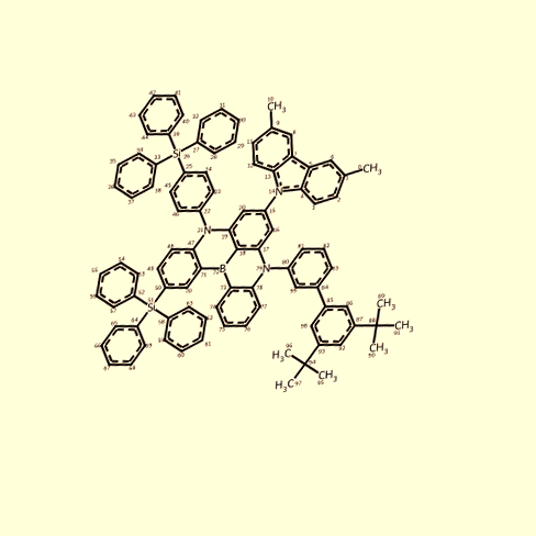 Cc1ccc2c(c1)c1cc(C)ccc1n2-c1cc2c3c(c1)N(c1ccc([Si](c4ccccc4)(c4ccccc4)c4ccccc4)cc1)c1ccc([Si](c4ccccc4)(c4ccccc4)c4ccccc4)cc1B3c1ccccc1N2c1cccc(-c2cc(C(C)(C)C)cc(C(C)(C)C)c2)c1